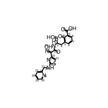 O=C(NC1Cc2cccc(C(=O)O)c2OB1O)C(=NO)c1csc(NCc2ccccn2)n1